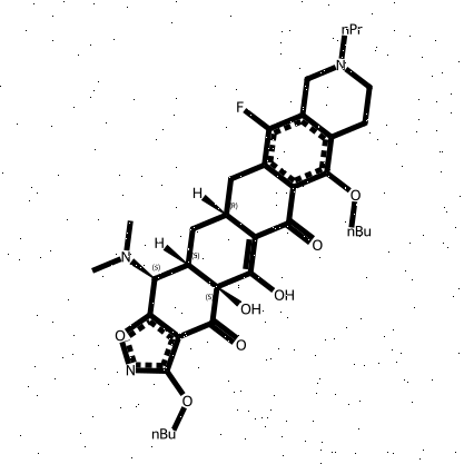 CCCCOc1noc2c1C(=O)[C@@]1(O)C(O)=C3C(=O)c4c(c(F)c5c(c4OCCCC)CCN(CCC)C5)C[C@H]3C[C@H]1[C@@H]2N(C)C